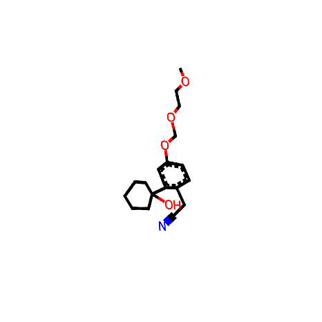 COCCOCOc1ccc(CC#N)c(C2(O)CCCCC2)c1